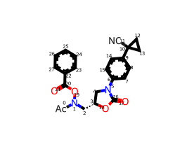 CC(=O)N(C[C@@H]1CN(c2ccc(C3(C#N)CC3)cc2)C(=O)O1)OC(=O)c1ccccc1